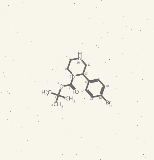 CC(C)(C)OC(=O)N1CCNCC1c1ccc(Br)cc1